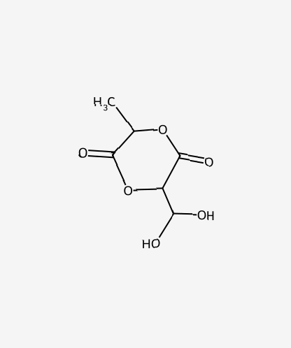 CC1OC(=O)C(C(O)O)OC1=O